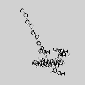 COCCOCCOCCOCCOCCOCCOCCOC(=O)NCCCC[C@H](NC(=O)[C@H](Cc1c(C)cc(O)cc1C)NC(=O)[C@@H](CCCNC(=N)N)NC(=O)OC(C)(C)C)C(=O)N[C@@H](Cc1ccccc1)C(N)=O